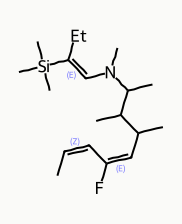 C/C=C\C(F)=C/C(C)C(C)C(C)N(C)/C=C(\CC)[Si](C)(C)C